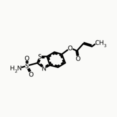 C/C=C/C(=O)Oc1ccc2nc(S(N)(=O)=O)sc2c1